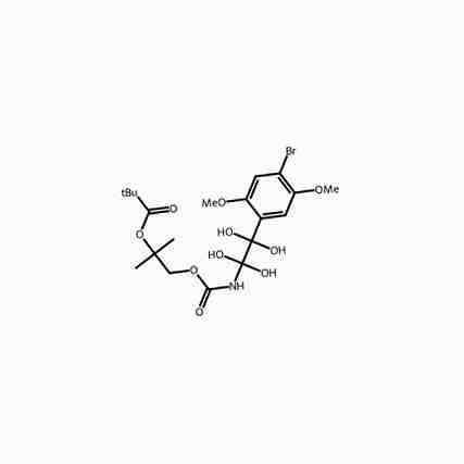 COc1cc(C(O)(O)C(O)(O)NC(=O)OCC(C)(C)OC(=O)C(C)(C)C)c(OC)cc1Br